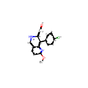 CCOc1ccc2c(n1)=C(c1ccc(Cl)cc1)C(=C=O)NC=2